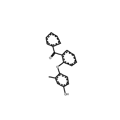 Cc1cc(O)ccc1Oc1ccccc1C(=O)c1ccccc1